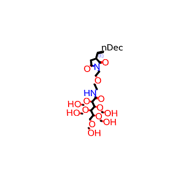 CCCCCCCCCC/C=C/C1CC(=O)N(CCOCCNC(=O)C(OCO)C(OCO)C(OCO)C(COCO)OCO)C1=O